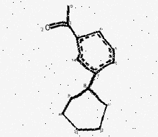 CC(=O)c1cccc(C2CCCCC2)c1